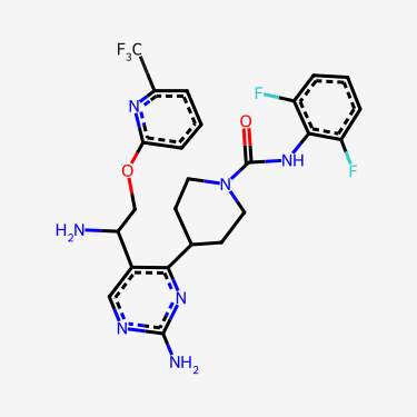 Nc1ncc(C(N)COc2cccc(C(F)(F)F)n2)c(C2CCN(C(=O)Nc3c(F)cccc3F)CC2)n1